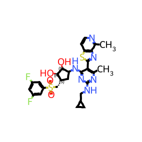 Cc1nc(NCC2CC2)nc(NC2C[C@H](CS(=O)(=O)c3cc(F)cc(F)c3)[C@@H](O)[C@H]2O)c1-c1nc2c(C)nccc2s1